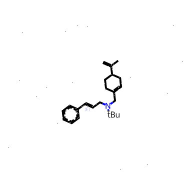 C=C(C)C1CC=C(CN(C/C=C/c2ccccc2)C(C)(C)C)CC1